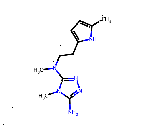 Cc1ccc(CCN(C)c2nnc(N)n2C)[nH]1